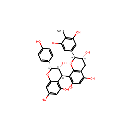 COc1c(O)cc([C@H]2Oc3c(c(O)cc(O)c3[C@H]3c4c(O)cc(O)cc4O[C@H](c4ccc(O)cc4)[C@@H]3O)C[C@H]2O)cc1O